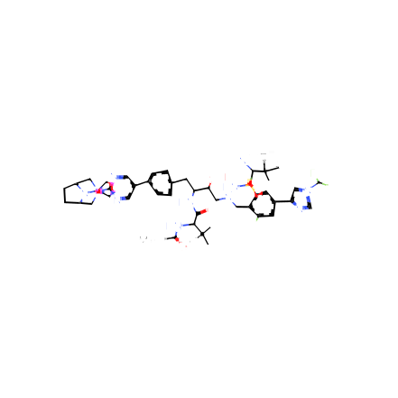 COC(=O)NC(C(=O)NC(Cc1ccc(-c2cnc(N3CC4CCC(C3)N4C3COC3)nc2)cc1)C(O)CN(Cc1c(F)cc(-c2cn(C(F)F)cn2)cc1F)NC(=O)C(NC(=O)O)C(C)(C)C(F)(F)F)C(C)(C)C(F)(F)F